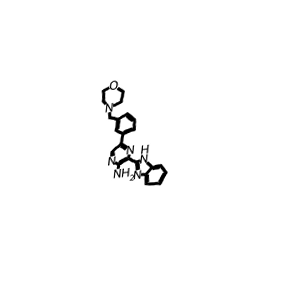 Nc1ncc(-c2cccc(CN3CCOCC3)c2)nc1-c1nc2ccccc2[nH]1